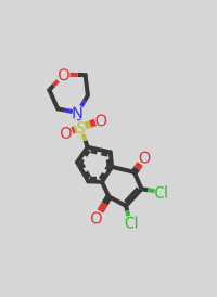 O=C1C(Cl)=C(Cl)C(=O)c2cc(S(=O)(=O)N3CCOCC3)ccc21